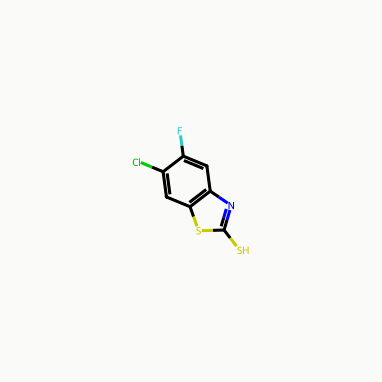 Fc1cc2nc(S)sc2cc1Cl